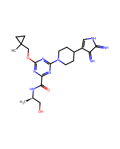 C[C@H](CO)NC(=O)c1nc(OCC2(C#N)CC2)nc(N2CCC(C3=CNC(=N)C3=N)CC2)n1